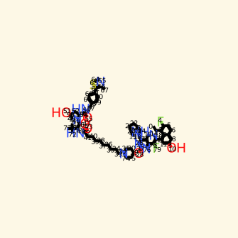 CCc1c(F)ccc2cc(O)cc(-c3ncc4c(N5CC6CCC(C5)N6)nc(OC5CCN(CCCCCCCCCC(=O)N[C@H](C(=O)N6C[C@H](O)C[C@H]6C(=O)NCc6ccc(-c7scnc7C)cc6)C(C)(C)C)CC5)nc4c3F)c12